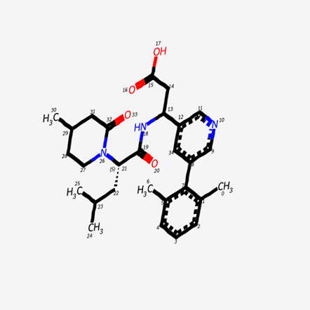 Cc1cccc(C)c1-c1cncc(C(CC(=O)O)NC(=O)[C@H](CC(C)C)N2CCC(C)CC2=O)c1